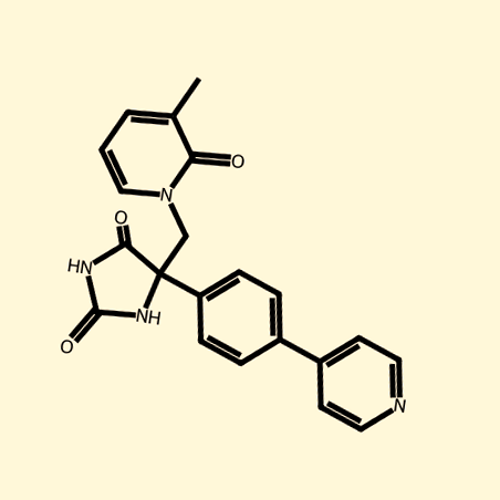 Cc1cccn(CC2(c3ccc(-c4ccncc4)cc3)NC(=O)NC2=O)c1=O